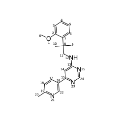 COc1ccccc1C(C)(C)CNc1cc(-c2ccc(C)nc2)ncn1